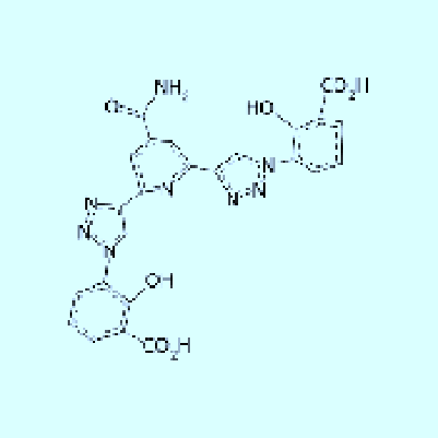 NC(=O)c1cc(-c2cn(-c3cccc(C(=O)O)c3O)nn2)nc(-c2cn(-c3cccc(C(=O)O)c3O)nn2)c1